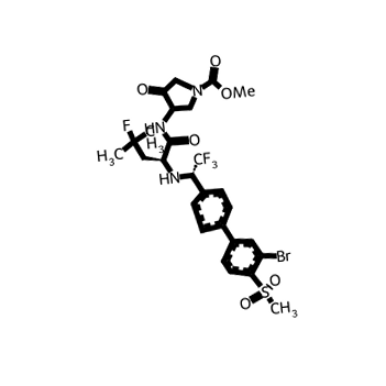 COC(=O)N1CC(=O)C(NC(=O)[C@H](CC(C)(C)F)N[C@@H](c2ccc(-c3ccc(S(C)(=O)=O)c(Br)c3)cc2)C(F)(F)F)C1